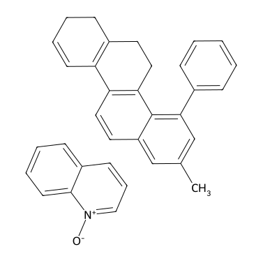 Cc1cc(-c2ccccc2)c2c3c(ccc2c1)C1=C(CCC=C1)CC3.[O-][n+]1cccc2ccccc21